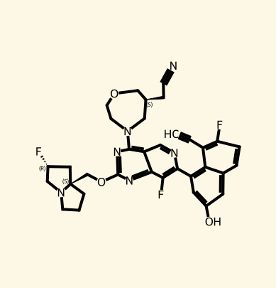 C#Cc1c(F)ccc2cc(O)cc(-c3ncc4c(N5CCOC[C@@H](CC#N)C5)nc(OC[C@@]56CCCN5C[C@H](F)C6)nc4c3F)c12